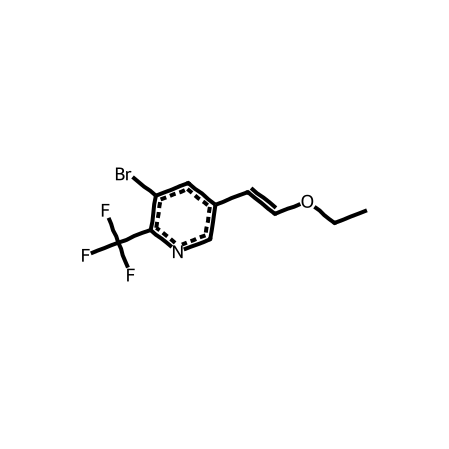 CCOC=Cc1cnc(C(F)(F)F)c(Br)c1